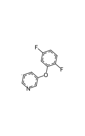 Fc1ccc(F)c(Oc2c[c]cnc2)c1